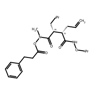 C=CC[C@H](C(=O)NOC(C)C)[C@@H](CC(C)C)C(=O)N(C)OC(=O)CCc1ccccc1